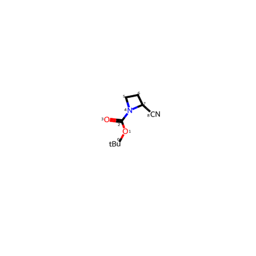 CC(C)(C)OC(=O)N1CCC1C#N